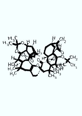 C=C1C(=O)[C@@]23[C@@H]4OC(C)(C)OC25OC[C@]2(C6=C(CC[C@]7(CC(C)(C)[C@H]8[C@H](O)[C@]9(OC(C)(C)C)OC[C@]8(C7=O)[C@@H]7CC[C@H]8C(=C)C(=O)[C@]79[C@@H]8O)O6)CC(C)(C)[C@H]2[C@@H]5O)[C@@H]3CC[C@@H]14